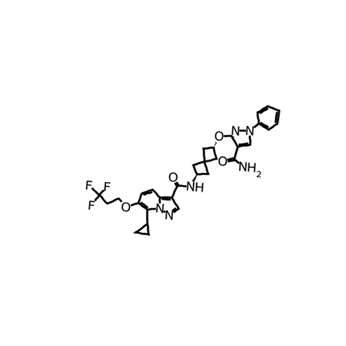 NC(=O)c1cn(-c2ccccc2)nc1O[C@H]1CC2(C[C@H](NC(=O)c3cnn4c(C5CC5)c(OCCC(F)(F)F)ccc34)C2)C1